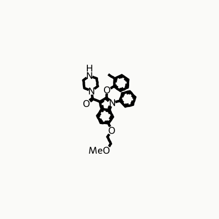 COCCOc1ccc2c(C(=O)N3CCNCC3)c(Oc3ccccc3C)n(-c3ccccc3)c2c1